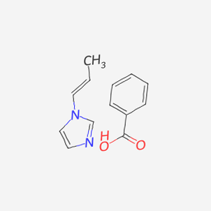 CC=Cn1ccnc1.O=C(O)c1ccccc1